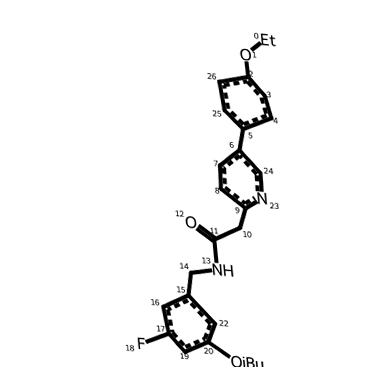 CCOc1ccc(-c2ccc(CC(=O)NCc3cc(F)cc(OCC(C)C)c3)nc2)cc1